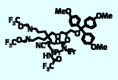 COc1ccc(C(OCC(COCC(CCCN=COC(F)(F)F)(CCCN=COC(F)(F)F)CCCNC(=O)C(F)(F)F)OP(OCCC#N)N(C(C)C)C(C)C)(c2ccc(OC)cc2)c2ccc(OC)cc2)cc1